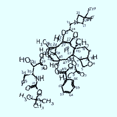 CC(=O)O[C@@]12CO[C@@H]1CC[C@@]1(C)[C@@H]3O[C@H](CN4CC(F)(F)C4)O[C@@H]3C3=C(C)[C@@H](OC(=O)[C@H](O)[C@H](CF)NC(=O)OC(C)(C)C)C[C@@](O)([C@@H](OC(=O)c4ccccc4)[C@@H]12)C3(C)C